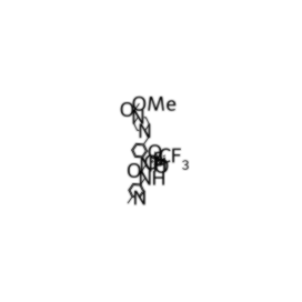 COC(=O)N1CCN(Cc2cccc(NC(=O)Nc3ccc(C)nc3)c2OS(=O)(=O)C(F)(F)F)CC1